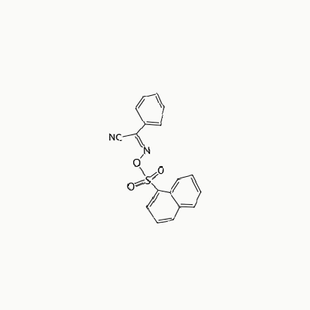 N#C/C(=N\OS(=O)(=O)c1cccc2ccccc12)c1ccccc1